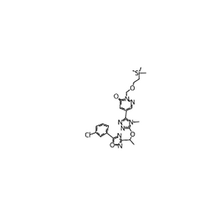 CC(Oc1nnc(-c2cnn(COCC[Si](C)(C)C)c(=O)c2)n1C)c1noc(-c2cccc(Cl)c2)n1